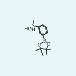 C[SH](O)c1cccc(B2OC(C)(C)C(C)(C)O2)c1